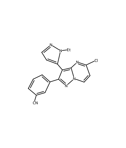 CCn1nccc1-c1c(-c2cccc(C#N)c2)nn2ccc(Cl)nc12